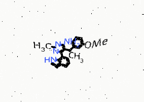 COc1cccc(C(C)c2c(N)nc(C)nc2-c2cccc3cc[nH]c23)c1